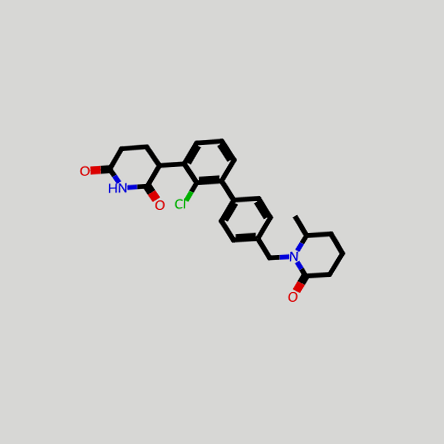 CC1CCCC(=O)N1Cc1ccc(-c2cccc(C3CCC(=O)NC3=O)c2Cl)cc1